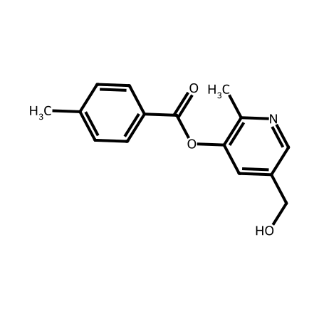 Cc1ccc(C(=O)Oc2cc(CO)cnc2C)cc1